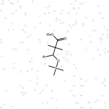 COC(=O)C(C)(C)C(O[Si](C)(C)C)C(C)C